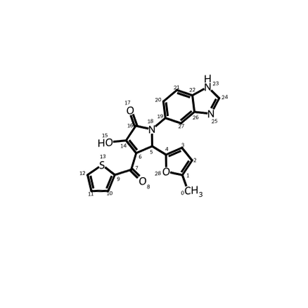 Cc1ccc(C2C(C(=O)c3cccs3)=C(O)C(=O)N2c2ccc3[nH]cnc3c2)o1